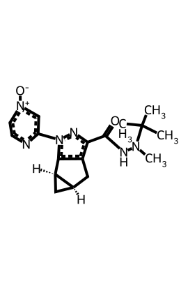 CN(NC(=O)c1nn(-c2c[n+]([O-])ccn2)c2c1C[C@H]1C[C@@H]21)C(C)(C)C